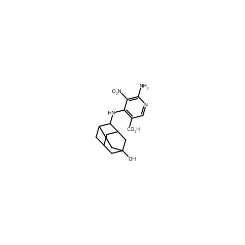 Nc1ncc(C(=O)O)c(NC2C3CC4CC2CC(O)(C4)C3)c1[N+](=O)[O-]